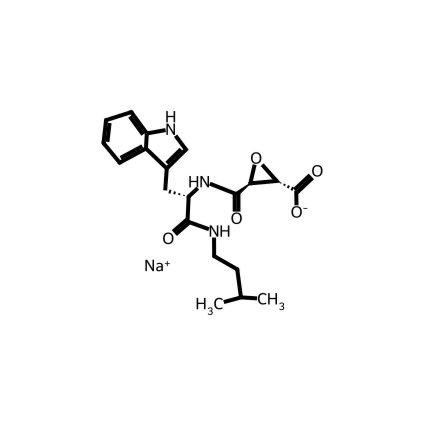 CC(C)CCNC(=O)[C@H](Cc1c[nH]c2ccccc12)NC(=O)[C@H]1O[C@@H]1C(=O)[O-].[Na+]